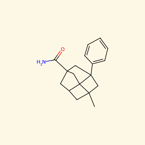 CC12CC3CC4(C(N)=O)CC(c5ccccc5)(C1)C32C4